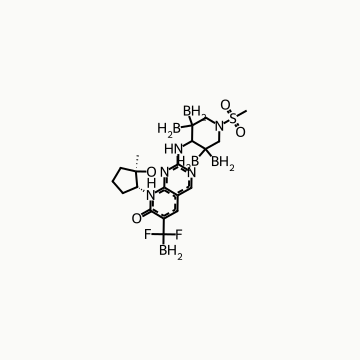 BC(F)(F)c1cc2cnc(NC3C(B)(B)CN(S(C)(=O)=O)CC3(B)B)nc2n([C@@H]2CCC[C@@]2(C)O)c1=O